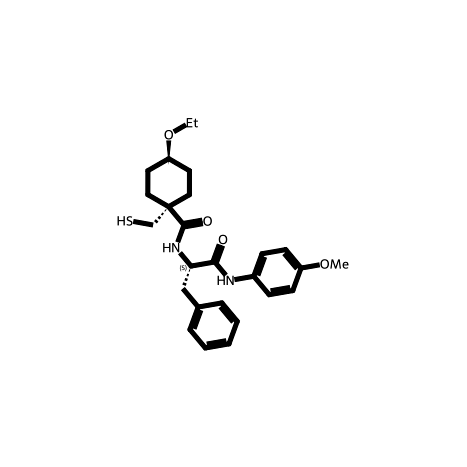 CCO[C@H]1CC[C@@](CS)(C(=O)N[C@@H](Cc2ccccc2)C(=O)Nc2ccc(OC)cc2)CC1